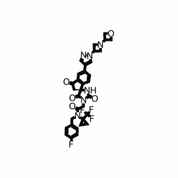 O=C1C[C@]2(NC(=O)N(CC(=O)N(Cc3ccc(F)cc3)C3(C(F)(F)F)CC3)C2=O)c2ccc(-c3cnn(C4CN(C5COC5)C4)c3)cc21